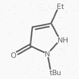 CCc1cc(=O)n(C(C)(C)C)[nH]1